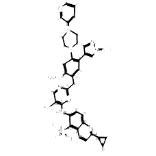 COc1cc(N2CCN(c3cccnc3)CC2)c(-c2cnn(C)c2)cc1Cc1ncc(Br)c(Nc2ccc3nc(C4CC4)ccc3c2P(C)(C)=O)n1